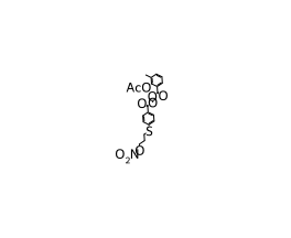 CC(=O)Oc1c(C)cccc1C(=O)OOC(=O)c1ccc(SCCCO[N+](=O)[O-])cc1